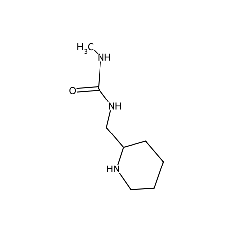 CNC(=O)NCC1CCCCN1